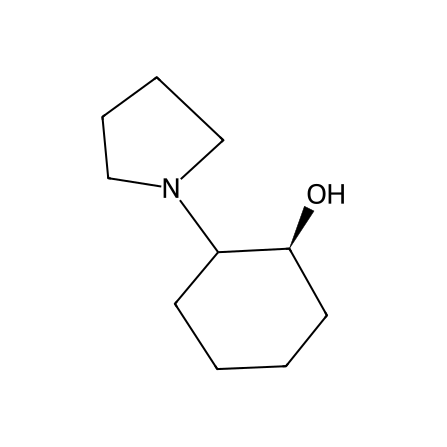 O[C@H]1CCCCC1N1CCCC1